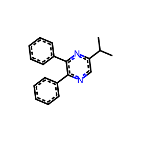 CC(C)c1cnc(-c2ccccc2)c(-c2ccccc2)n1